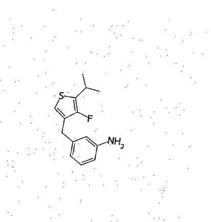 CC(C)c1scc(Cc2cccc(N)c2)c1F